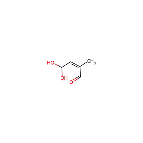 CC(C=O)=CC(O)O